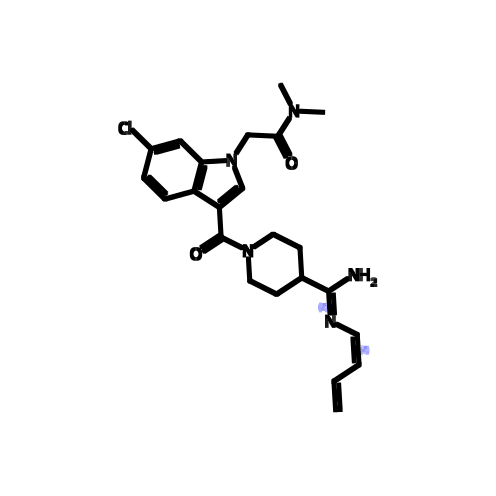 C=C/C=C\N=C(/N)C1CCN(C(=O)c2cn(CC(=O)N(C)C)c3cc(Cl)ccc23)CC1